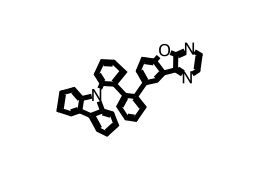 c1ccc(-c2ccccc2-n2c3ccccc3c3ccccc32)c(-c2ccc3oc4nccnc4c3c2)c1